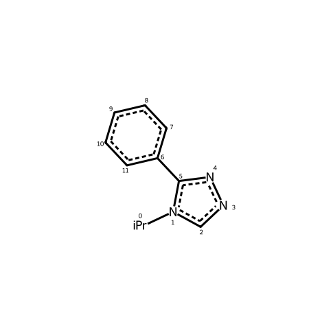 CC(C)n1cnnc1-c1ccccc1